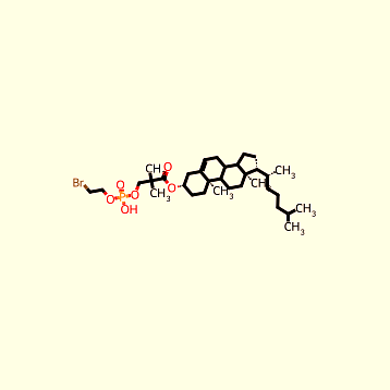 CC(C)CCC[C@@H](C)[C@H]1CCC2C3CC=C4C[C@@H](OC(=O)C(C)(C)COP(=O)(O)OCCBr)CC[C@]4(C)C3CC[C@@]21C